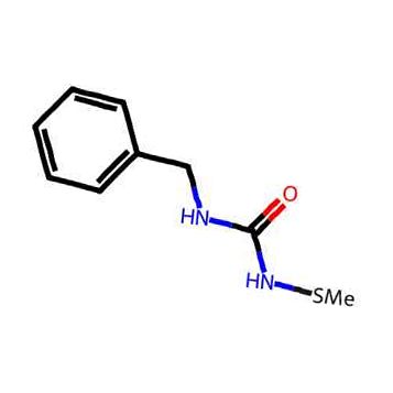 CSNC(=O)NCc1ccccc1